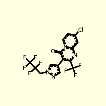 O=c1c(-c2cnn(CC(F)(F)C(F)(F)F)c2)c(C(F)(F)F)nc2cc(Cl)ccn12